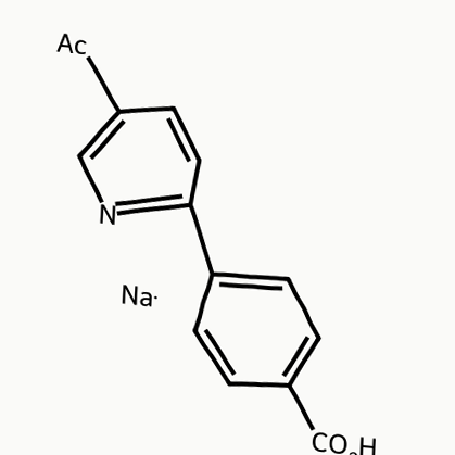 CC(=O)c1ccc(-c2ccc(C(=O)O)cc2)nc1.[Na]